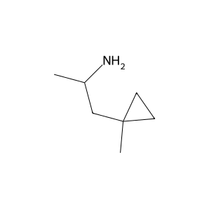 CC(N)CC1(C)CC1